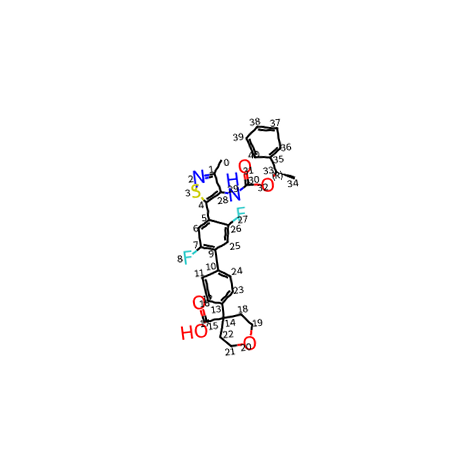 Cc1nsc(-c2cc(F)c(-c3ccc(C4(C(=O)O)CCOCC4)cc3)cc2F)c1NC(=O)O[C@H](C)c1ccccc1